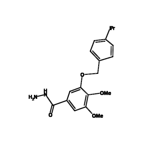 COc1cc(C(=O)NN)cc(OCc2ccc(C(C)C)cc2)c1OC